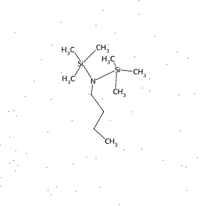 CCC[CH]N([Si](C)(C)C)[Si](C)(C)C